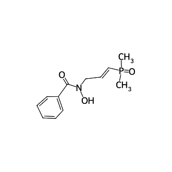 CP(C)(=O)/C=C/CN(O)C(=O)c1ccccc1